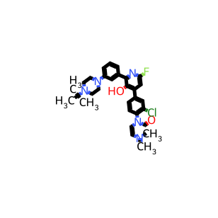 CN(C)/C=C\N(C=O)c1ccc(-c2cc(F)nc(-c3cccc(N4CCN(C(C)(C)C)CC4)c3)c2O)cc1Cl